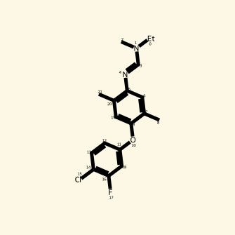 CCN(C)C=Nc1cc(C)c(Oc2ccc(Cl)c(F)c2)cc1C